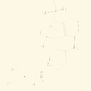 [2H]C([2H])([2H])Oc1cccc(C(=O)C2CCN(C(=O)OC(C)(C)C)CC2)c1OC([2H])([2H])[2H]